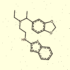 CCN(CCNc1nc2ccccc2s1)C(C)c1ccc2c(c1)OCO2